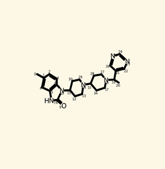 Cc1ccc2c(c1)[nH]c(=O)n2C1CCN(C2CCN(C(C)c3cncnc3)CC2)CC1